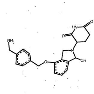 NCc1ccc(COc2cccc3c2CN(C2CCC(=O)NC2=O)C3O)cc1